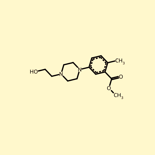 COC(=O)c1cc(N2CCN(CCO)CC2)ccc1C